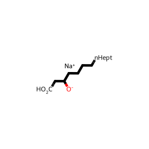 CCCCCCCCCCCC([O-])CC(=O)O.[Na+]